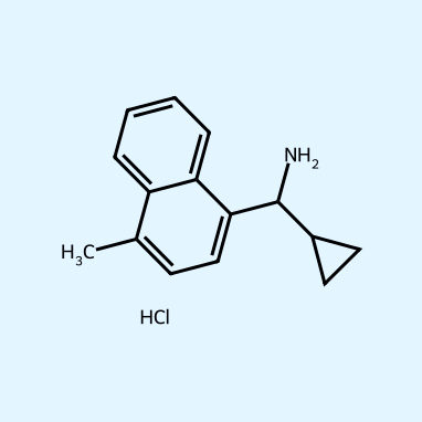 Cc1ccc(C(N)C2CC2)c2ccccc12.Cl